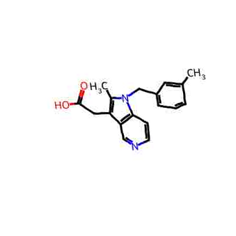 Cc1cccc(Cn2c(C)c(CC(=O)O)c3cnccc32)c1